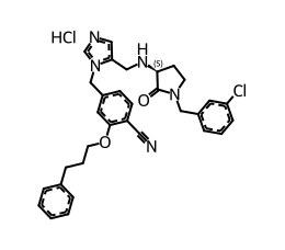 Cl.N#Cc1ccc(Cn2cncc2CN[C@H]2CCN(Cc3cccc(Cl)c3)C2=O)cc1OCCCc1ccccc1